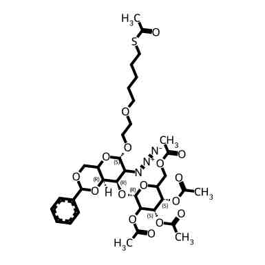 CC(=O)OCC1O[C@@H](O[C@@H]2C(N=[N+]=[N-])[C@@H](OCCOCCCCCSC(C)=O)OC3COC(c4ccccc4)O[C@@H]32)C(OC(C)=O)[C@@H](OC(C)=O)[C@H]1OC(C)=O